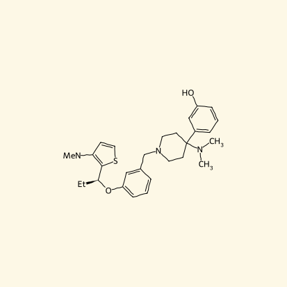 CC[C@H](Oc1cccc(CN2CCC(c3cccc(O)c3)(N(C)C)CC2)c1)c1sccc1NC